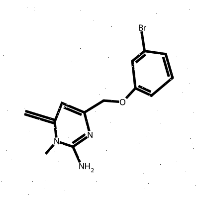 C=C1C=C(COc2cccc(Br)c2)N=C(N)N1C